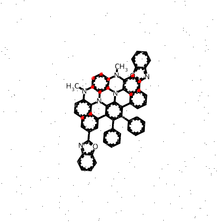 CN1c2ccccc2N(c2c(-c3cccc(-c4nc5ccccc5o4)c3)c(-c3ccccc3)c(-c3ccccc3)c(-c3cccc(-c4nc5ccccc5o4)c3)c2N2c3ccccc3N(C)c3ccccc32)c2ccccc21